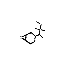 CCO[Si](C)(C)C(C)C1CCC2OC2C1